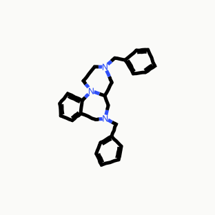 c1ccc(CN2CCN3c4ccccc4CN(Cc4ccccc4)CC3C2)cc1